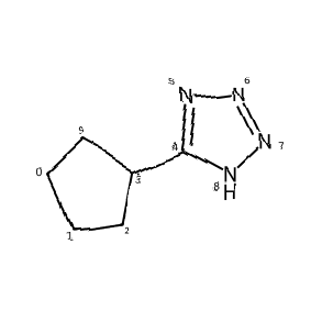 C1CC[C](c2nnn[nH]2)C1